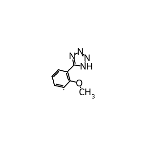 COc1[c]cccc1-c1nnn[nH]1